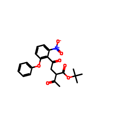 CC(=O)C(CC(=O)c1c(Oc2ccccc2)cccc1[N+](=O)[O-])C(=O)OC(C)(C)C